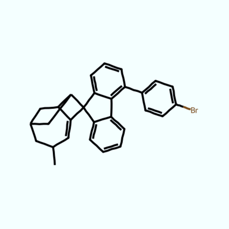 CC1C=C2C3CC(C1)CC3C21c2ccccc2-c2c(-c3ccc(Br)cc3)cccc21